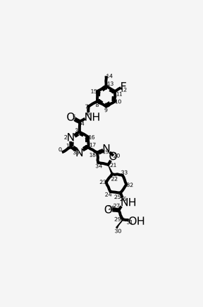 Cc1nc(C(=O)NCc2ccc(F)c(C)c2)cc(C2=NO[C@@H](C3CCC(NC(=O)[C@H](C)O)CC3)C2)n1